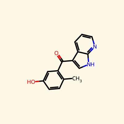 Cc1ccc(O)cc1C(=O)c1c[nH]c2ncccc12